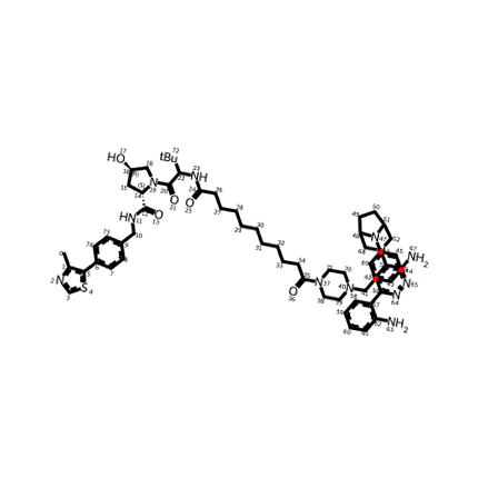 Cc1ncsc1-c1ccc(CNC(=O)[C@@H]2C[C@@H](O)CN2C(=O)C(NC(=O)CCCCCCCCCC(=O)N2CCN(Cc3cccc(N4C5CCC4CN(c4cc(-c6ccccc6N)nnc4N)C5)c3)CC2)C(C)(C)C)cc1